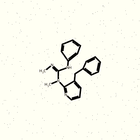 CN=C(Nc1ccccc1)N(C)c1ncccc1Cc1ccccc1